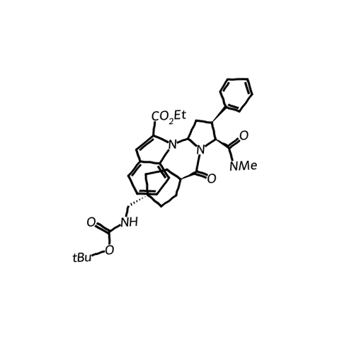 CCOC(=O)c1cc2ccccc2n1C1C[C@@H](c2ccccc2)[C@@H](C(=O)NC)N1C(=O)[C@H]1CC[C@H](CNC(=O)OC(C)(C)C)CC1